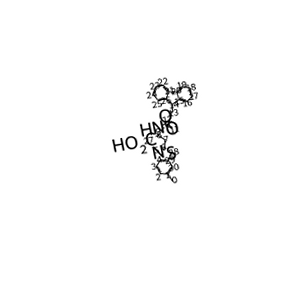 Cc1ccc2nc(C[C@H](NC(=O)OCC3c4ccccc4-c4ccccc43)C(=O)O)sc2c1